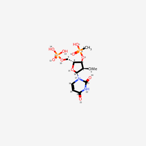 CO[C@@H]1[C@H](OP(C)(=O)O)[C@@H](COP(=O)(O)O)O[C@H]1n1ccc(=O)[nH]c1=O